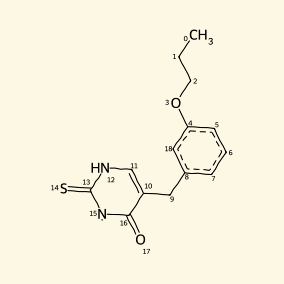 CCCOc1cccc(CC2=CNC(=S)[N]C2=O)c1